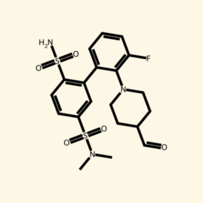 CN(C)S(=O)(=O)c1ccc(S(N)(=O)=O)c(-c2cccc(F)c2N2CCC(C=O)CC2)c1